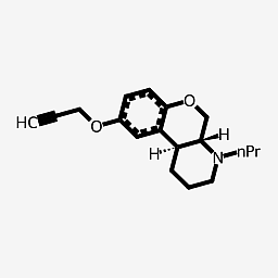 C#CCOc1ccc2c(c1)[C@@H]1CCCN(CCC)[C@H]1CO2